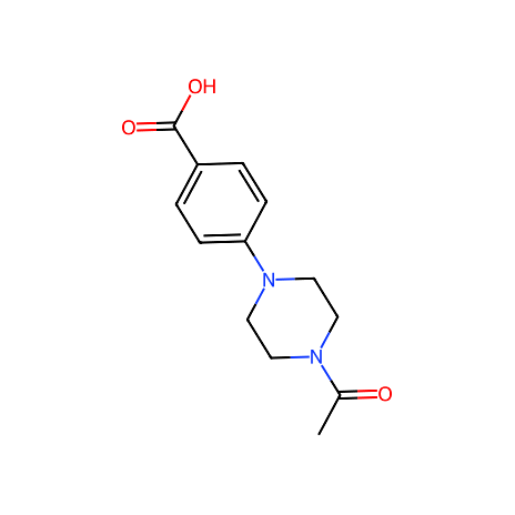 CC(=O)N1CCN(c2ccc(C(=O)O)cc2)CC1